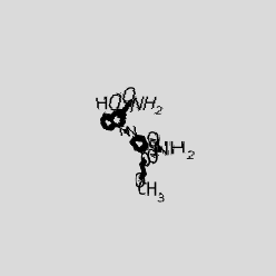 COCCOc1ccc(N=Nc2cc(C(N)=O)c(O)c3ccccc23)cc1S(N)(=O)=O